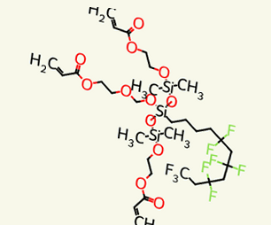 C=CC(=O)OCCOCO[Si](CCCCC(F)(F)CC(F)(F)CC(F)(F)CC(F)(F)F)(O[Si](C)(C)OCCOC(=O)C=C)O[Si](C)(C)OCCOC(=O)C=C